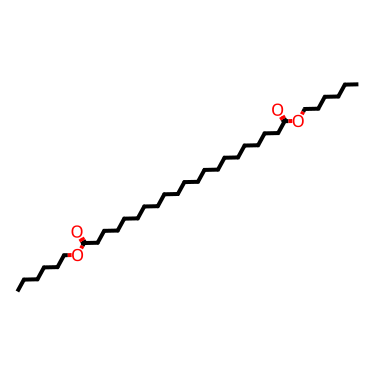 CCCCCCOC(=O)CCCCCCCCCCCCCCCCCCCC(=O)OCCCCCC